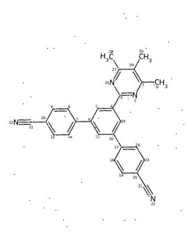 Cc1nc(-c2cc(-c3ccc(C#N)cc3)cc(-c3ccc(C#N)cc3)c2)nc(C)c1C